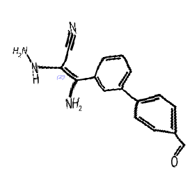 N#C/C(NN)=C(/N)c1cccc(-c2ccc(C=O)cc2)c1